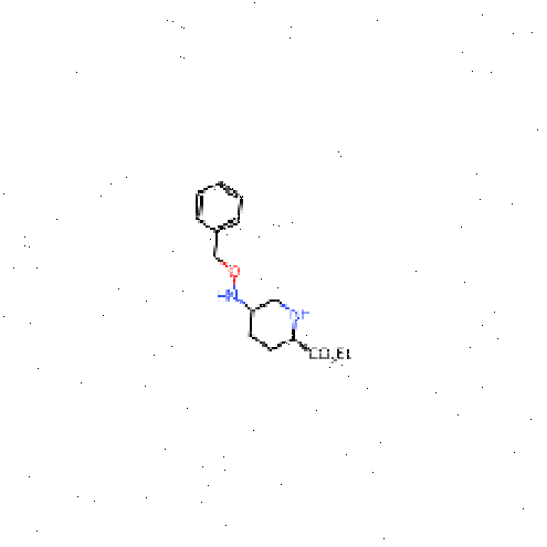 CCOC(=O)[C@H]1CCC(NOCc2ccccc2)CN1